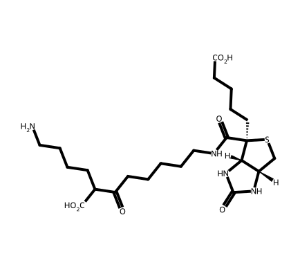 NCCCCC(C(=O)O)C(=O)CCCCCNC(=O)[C@@]1(CCCCC(=O)O)SC[C@@H]2NC(=O)N[C@@H]21